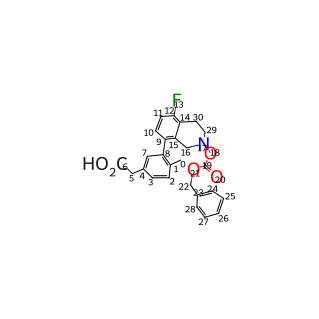 Cc1ccc(CC(=O)O)cc1-c1ccc(F)c2c1CN(OC(=O)OCc1ccccc1)CC2